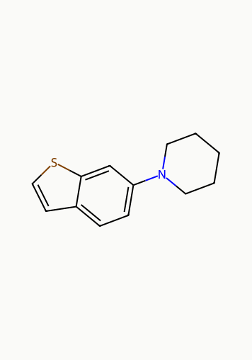 c1cc2ccc(N3CCCCC3)cc2s1